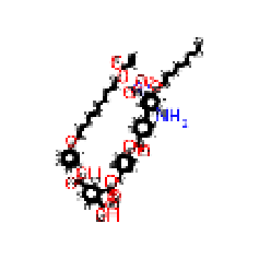 C=CC(=O)OCCCCCCCCCCOc1ccccc1.CCCCCCCCOc1cc(N)c(-c2ccc(C(=O)Oc3ccc(COC(=O)c4cc(C(=O)O)ccc4C(=O)O)cc3)cc2)cc1[N+](=O)[O-]